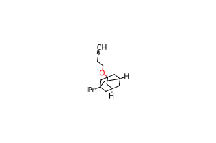 C#CCCOC12C[C@H]3C[C@@H](C1)CC(C(C)C)(C3)C2